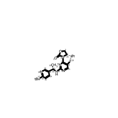 CC(C)[C@H]1COC(=O)N1c1nc(N[C@@H](C)c2ccc(C(C)(C)C)nc2)ncc1F